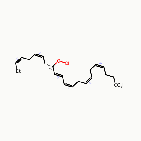 CC/C=C\C/C=C\C[C@@H](/C=C/C=C\C/C=C\C/C=C\CCC(=O)O)OO